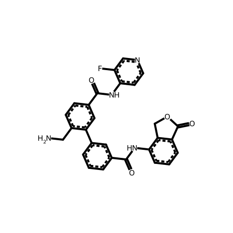 NCc1ccc(C(=O)Nc2ccncc2F)cc1-c1cccc(C(=O)Nc2cccc3c2COC3=O)c1